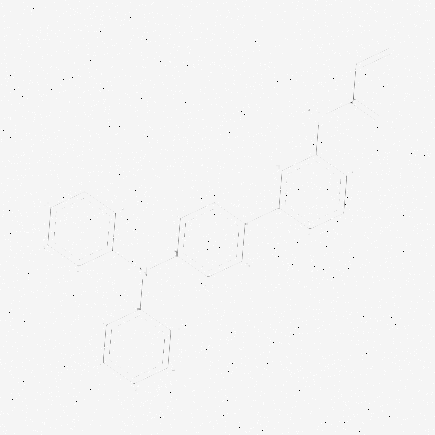 C=CC(=O)Oc1cccc(-c2ccc(N(c3ccccc3)c3ccccc3)cc2)c1